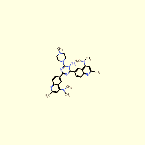 Cc1cc(N(C)C)c2cc(C3=NC(c4ccc5nc(C)cc(N(C)C)c5c4)N(N)C(N4CCN(C)CC4)=N3)ccc2n1